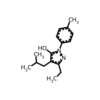 CCc1nn(-c2ccc(C)cc2)c(O)c1CC(C)C